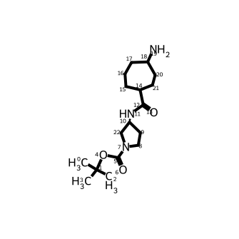 CC(C)(C)OC(=O)N1CC[C@@H](NC(=O)C2CCCC(N)CC2)C1